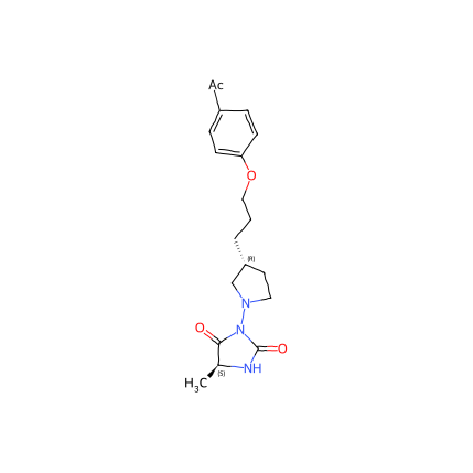 CC(=O)c1ccc(OCCC[C@@H]2CCN(N3C(=O)N[C@@H](C)C3=O)C2)cc1